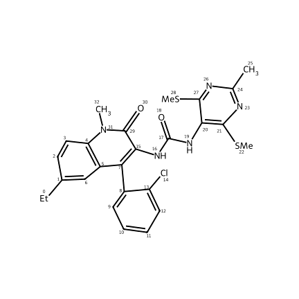 CCc1ccc2c(c1)c(-c1ccccc1Cl)c(NC(=O)Nc1c(SC)nc(C)nc1SC)c(=O)n2C